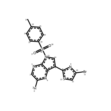 [2H]c1cnc2c(n1)c(-c1nc(Br)cs1)cn2S(=O)(=O)c1ccc(C)cc1